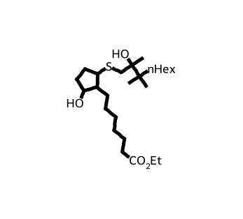 CCCCCCC(C)(C)C(C)(O)CSC1CCC(O)C1CCCCCCC(=O)OCC